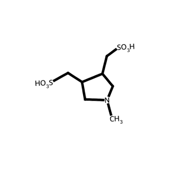 CN1CC(CS(=O)(=O)O)C(CS(=O)(=O)O)C1